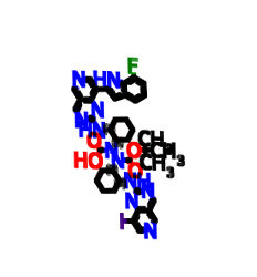 CC(C)(C)OC(=O)N([C@H]1CCCC[C@H]1Nc1ncc2cncc(I)c2n1)N(C(=O)O)[C@H]1CCCC[C@H]1Nc1ncc2cncc(-c3cc4cccc(F)c4[nH]3)c2n1